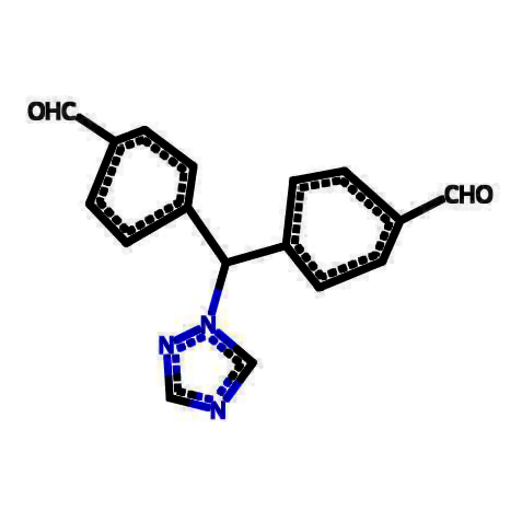 O=Cc1ccc(C(c2ccc(C=O)cc2)n2cncn2)cc1